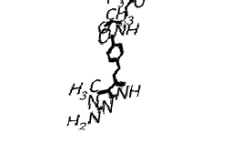 CC(=O)CC[C@H](NC(=O)c1ccc(CCc2c[nH]c3nc(N)nc(C)c23)cc1)C(C)=O